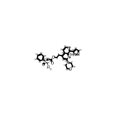 CS(=O)(=NC(=O)OCCc1cc(N2CCOCC2)nc2c(-c3ccn[nH]3)nccc12)c1ccccc1